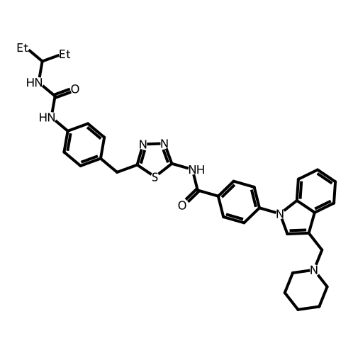 CCC(CC)NC(=O)Nc1ccc(Cc2nnc(NC(=O)c3ccc(-n4cc(CN5CCCCC5)c5ccccc54)cc3)s2)cc1